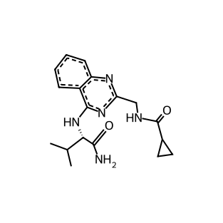 CC(C)[C@H](Nc1nc(CNC(=O)C2CC2)nc2ccccc12)C(N)=O